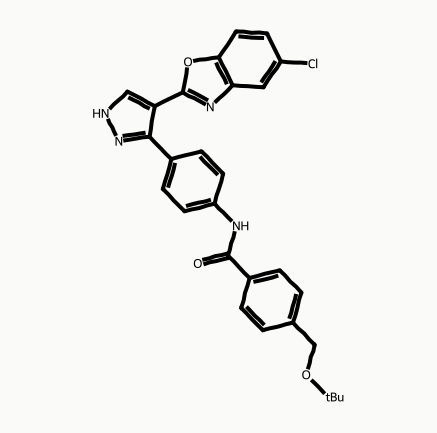 CC(C)(C)OCc1ccc(C(=O)Nc2ccc(-c3n[nH]cc3-c3nc4cc(Cl)ccc4o3)cc2)cc1